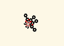 CC[Si]1(CC)O[Si](CC)(CC)O[Si](c2ccc(-c3ccccc3)cc2)(c2ccc(-c3ccccc3)cc2)O[Si](c2ccc(-c3ccccc3)cc2)(c2ccc(-c3ccccc3)cc2)O1